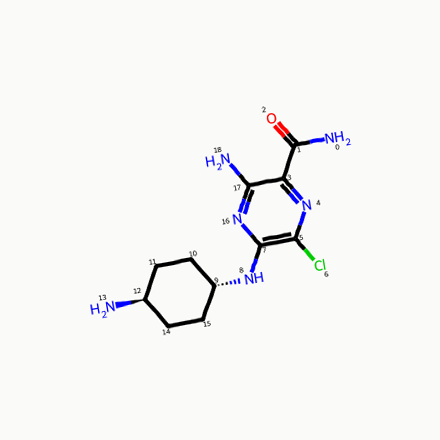 NC(=O)c1nc(Cl)c(N[C@H]2CC[C@H](N)CC2)nc1N